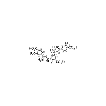 CCOC(=O)c1cc(/C(N)=C/N(N)c2ccc(C(=O)O)c(C(F)(F)F)c2)nc(/C(N)=C/N(N)c2ccc(C(=O)O)c(C(F)(F)F)c2)c1